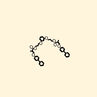 CC(=COc1ccc(-c2ccccc2)cc1)C(=O)OCCCOc1cccc(OCCCOC(=O)C(C)=COc2ccc(-c3ccccc3)cc2)c1